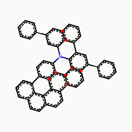 c1ccc(-c2cccc(N(c3ccc(-c4ccccc4)cc3-c3ccccc3)c3ccc(-c4cccc5ccc6ccc7ccccc7c6c45)cc3-c3ccccc3)c2)cc1